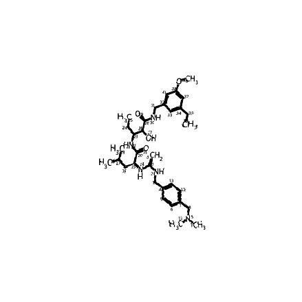 C=C(NCc1ccc(CN(C)C)cc1)N[C@@H](CC(C)C)C(=O)NC(CC)C(O)C(=O)NCc1cc(CC)cc(OC)c1